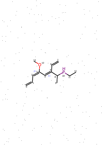 C=C/C=C(\C=C(/C=C)C(C)PCC)OC